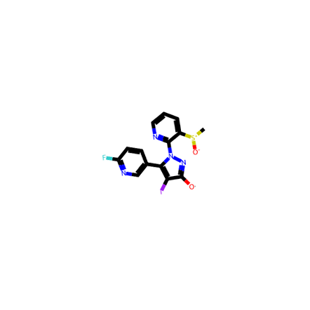 C[S+]([O-])c1cccnc1-n1nc([O])c(I)c1-c1ccc(F)nc1